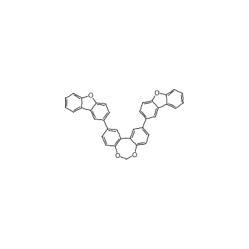 c1ccc2c(c1)oc1ccc(-c3ccc4c(c3)-c3cc(-c5ccc6oc7ccccc7c6c5)ccc3OCO4)cc12